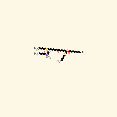 CCCCCCCCCC(=O)OC(CCCCCC(=O)CCCCCC(CSCCCCCC)OC(=O)CN(C)C(=O)CCCCC)CSCCCCCC